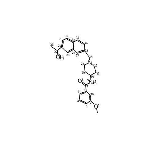 COc1cccc(C(=O)NC2CCN(Cc3ccc4ccc(C(C)O)cc4c3)CC2)c1